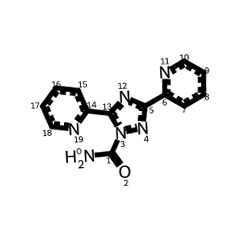 NC(=O)n1nc(-c2ccccn2)nc1-c1ccccn1